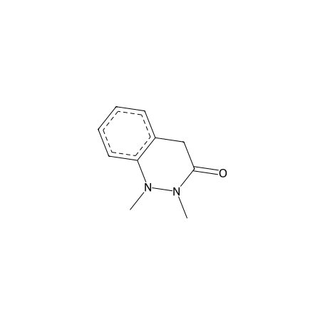 CN1C(=O)Cc2ccccc2N1C